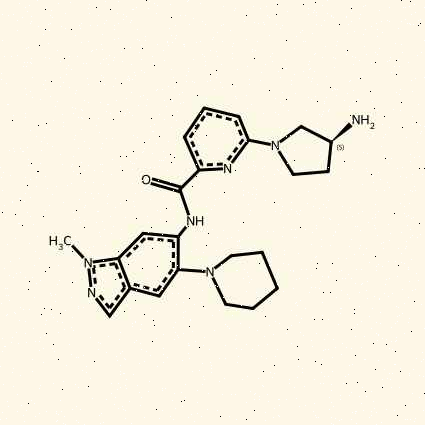 Cn1ncc2cc(N3CCCCC3)c(NC(=O)c3cccc(N4CC[C@H](N)C4)n3)cc21